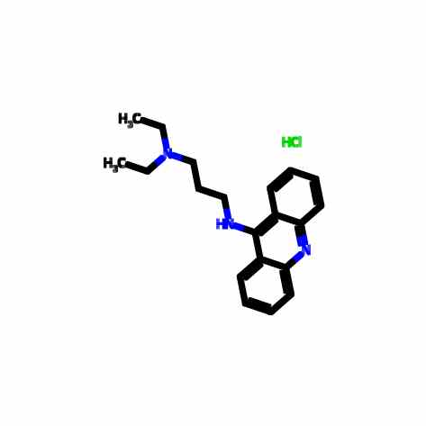 CCN(CC)CCCNc1c2ccccc2nc2ccccc12.Cl